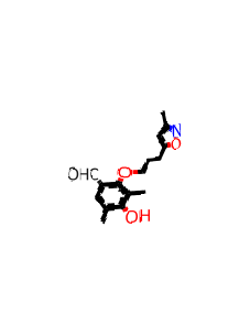 Cc1cc(CCCOc2c(C=O)cc(C)c(O)c2C)on1